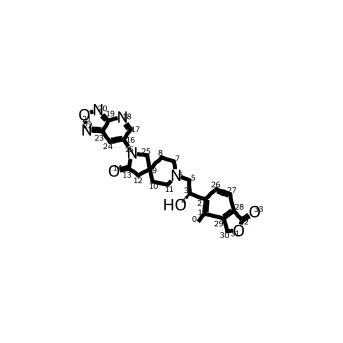 Cc1c([C@@H](O)CN2CCC3(CC2)CC(=O)N(c2cnc4nonc4c2)C3)ccc2c1COC2=O